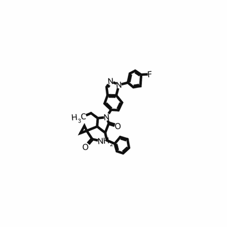 CCC1C(C2(C(N)=O)CC2)C(Cc2ccccc2)C(=O)N1c1ccc2c(cnn2-c2ccc(F)cc2)c1